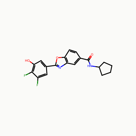 O=C(NC1CCCC1)c1ccc2oc(-c3cc(O)c(F)c(F)c3)nc2c1